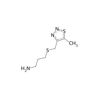 Cc1snnc1CSCCCN